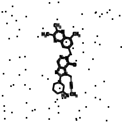 CC#CCn1c(N2CCCC(N)C2)nc2cnn(Cc3cc(C)c4nc(C)c(C)nc4c3)c(=O)c21